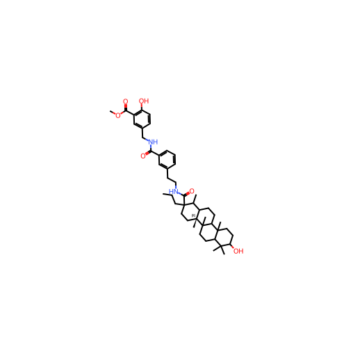 CCCC1(C(=O)NCCc2cccc(C(=O)NCc3ccc(O)c(C(=O)OC)c3)c2)CC[C@]2(C)C(CCC3C4(C)CCC(O)C(C)(C)C4CCC32C)C1C